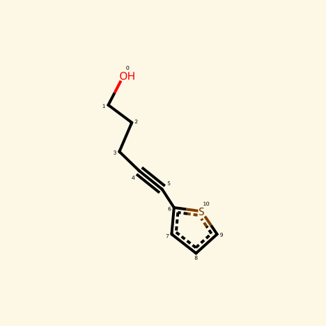 OCCCC#Cc1cccs1